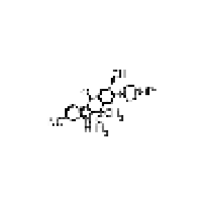 C#Cc1cc2c(cc1N1CCN(C(C)C)CC1)C(C)(C)c1[nH]c3c(c1C2=O)C=CC(C#N)C3